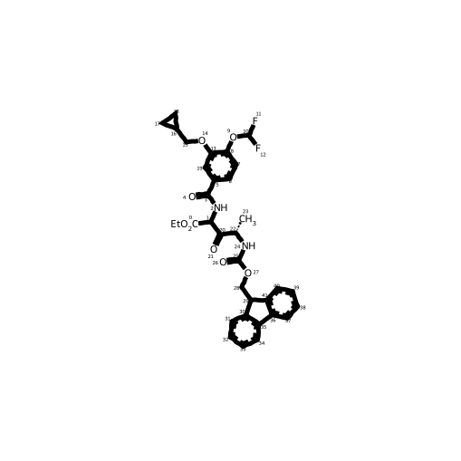 CCOC(=O)C(NC(=O)c1ccc(OC(F)F)c(OCC2CC2)c1)C(=O)[C@H](C)NC(=O)OCC1c2ccccc2-c2ccccc21